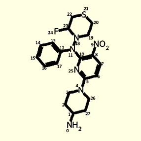 NC1CCN(c2ccc([N+](=O)[O-])c(N(c3ccccc3)N3CCSCC3F)n2)CC1